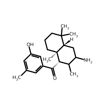 Cc1cc(O)cc(C(=O)[C@H]2C(C)C(N)C[C@H]3C(C)(C)CCC[C@]23C)c1